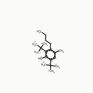 CCCCc1c(C)cc(C(C)(C)C)c(O)c1C(C)(C)C